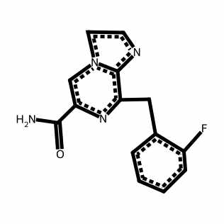 NC(=O)c1cn2ccnc2c(Cc2ccccc2F)n1